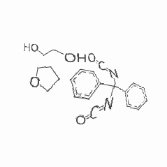 C1CCOC1.O=C=NC(N=C=O)(c1ccccc1)c1ccccc1.OCCO